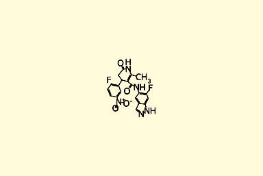 CC1=C(C(=O)Nc2cc3cn[nH]c3cc2F)C(c2cc([N+](=O)[O-])ccc2F)CC(=O)N1